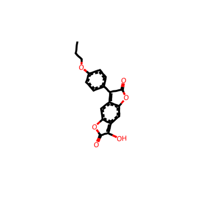 CCCOc1ccc(C2=c3cc4c(cc3OC2=O)=C(O)C(=O)O4)cc1